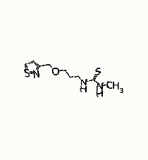 CNC(=S)NCCCOCc1ccsn1